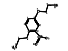 NCCc1ccc(OCCO)cc1[N+](=O)[O-]